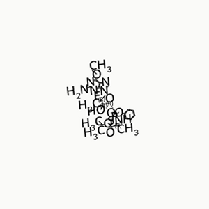 CCOc1nc(N)nc2c1ncn2C1O[C@H](COP(=S)(N[C@H](C)C(=O)OC(C)C)Oc2ccccc2)[C@@H](O)[C@@]1(C)F